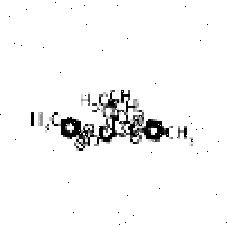 Cc1ccc(S(=O)(=O)OC[C@H]2C[C@@H](OS(=O)(=O)c3ccc(C)cc3)CN2C(=O)OC(C)(C)C)cc1